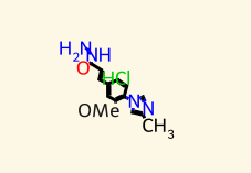 COc1cc(C=CC(=O)NN)ccc1-n1cnc(C)c1.Cl